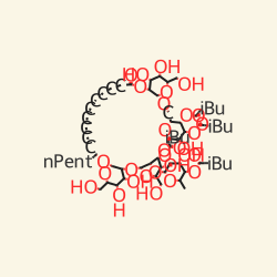 CCCCCC1CCCCCCCCCC(=O)OC2C(OCC3OC(OC4C(O)C(CO)OC(OC5C(O1)OC(CO)C(O)C5O)C4OC1OC(C)C(OC(=O)C(C)CC)C(O)C1OC(=O)C(C)CC)C(O)C(OC(=O)C(C)CC)C3OC(=O)C(C)CC)OC(CO)C(O)C2O